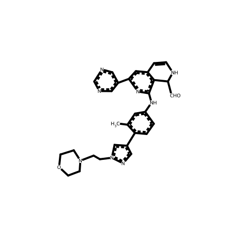 Cc1cc(Nc2nc(-c3cncnc3)cc3c2C(C=O)NC=C3)ccc1-c1cnn(CCN2CCOCC2)c1